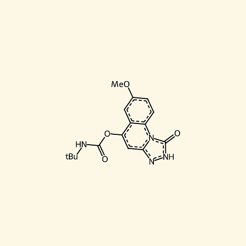 COc1ccc2c(c1)c(OC(=O)NC(C)(C)C)cc1n[nH]c(=O)n12